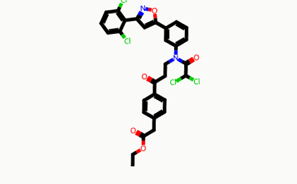 CCOC(=O)Cc1ccc(C(=O)CCN(C(=O)C(Cl)Cl)c2cccc(-c3cc(-c4c(Cl)cccc4Cl)no3)c2)cc1